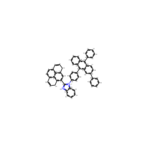 C1=Cc2ccc3c4c(c(-c5nc6ccccc6n5-c5ccc(-c6c7ccccc7c(-c7ccccc7)c7ccc(-c8ccccc8)cc67)cc5)cc(c24)C1)CC=C3